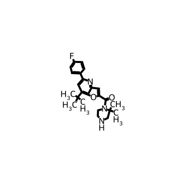 CC(C)(C)c1cc(-c2ccc(F)cc2)nc2cc(C(=O)N3CCNCC3(C)C)oc12